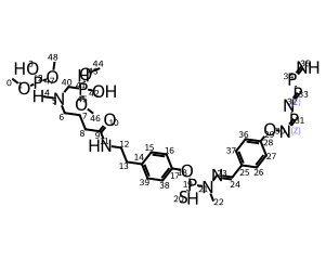 CO[PH](O)(CN(CCCC(=O)NCCc1ccc(O[PH](=S)N(C)N=Cc2ccc(O/N=P\N=P\P=N)cc2)cc1)C[PH](O)(OC)OC)OC